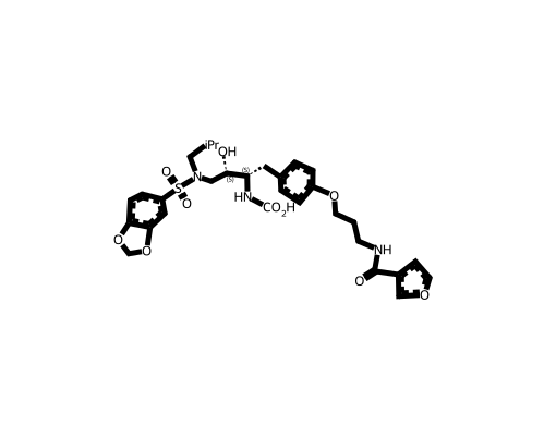 CC(C)CN(C[C@H](O)[C@H](Cc1ccc(OCCCNC(=O)c2ccoc2)cc1)NC(=O)O)S(=O)(=O)c1ccc2c(c1)OCO2